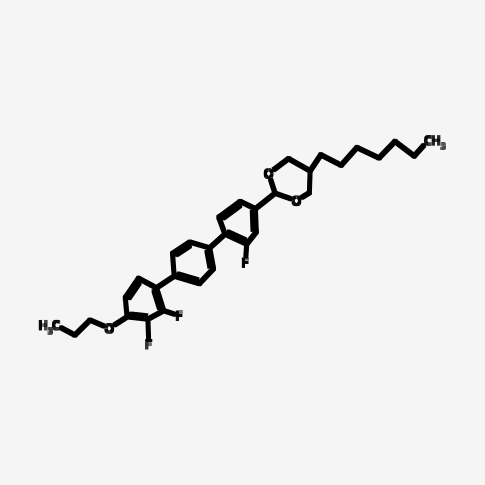 CCCCCCCC1COC(c2ccc(-c3ccc(-c4ccc(OCCC)c(F)c4F)cc3)c(F)c2)OC1